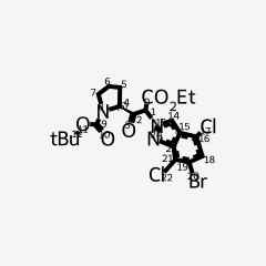 CCOC(=O)C(C(=O)[C@@H]1CCCN1C(=O)OC(C)(C)C)n1cc2c(Cl)cc(Br)c(Cl)c2n1